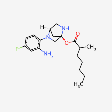 CCCCCC(C)C(=O)O[C@@]12C[C@H](CN1)N(c1ccc(F)cc1N)C2